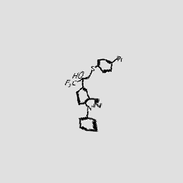 CC(C)c1ccc(SCC(O)(c2ccc3c(cnn3-c3ccccc3)c2)C(F)(F)F)cc1